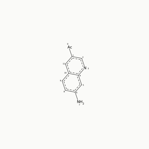 CC(=O)c1cnc2cc(N)ccc2c1